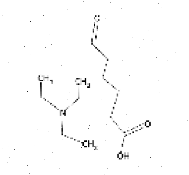 CCN(CC)CC.O=CCCCCC(=O)O